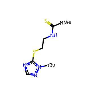 CNC(=S)NCCSc1ncnn1C(C)(C)C